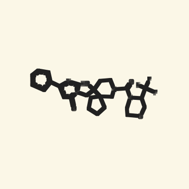 O=C(N1CCC(O)(Cn2cnc(-c3ccccc3)cc2=O)C2(CCCC2)C1)N1CCOCC1C(F)(F)F